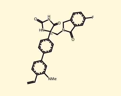 C=Cc1ccc(-c2ccc([C@]3(CN4Cc5ccc(F)cc5C4=O)NC(=O)NC3=O)cc2)cc1NC